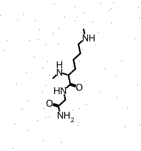 CNCCCCC(NC)C(=O)NCC(N)=O